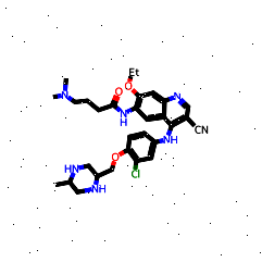 CCOc1cc2ncc(C#N)c(Nc3ccc(OCC4CNC(C)CN4)c(Cl)c3)c2cc1NC(=O)CCCN(C)C